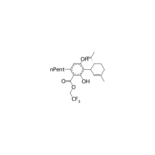 C=C(C)[C@@H]1CCC(C)=CC1c1c(O)cc(CCCCC)c(C(=O)OCC(F)(F)F)c1O